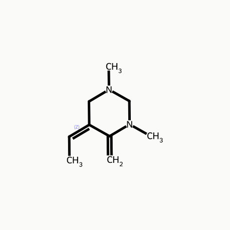 C=C1/C(=C\C)CN(C)CN1C